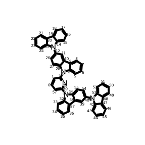 c1cc(-n2c3ccccc3c3cc(-n4c5ccccc5c5ccccc54)ccc32)nc(-n2c3ccccc3c3cc(-n4c5ccccc5c5ccccc54)ccc32)c1